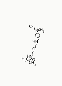 C=C(C)C(=O)NCCCOCCCNCc1ccc(N(C)CCCl)cc1